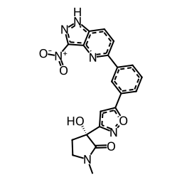 CN1CC[C@@](O)(c2cc(-c3cccc(-c4ccc5[nH]nc([N+](=O)[O-])c5n4)c3)on2)C1=O